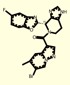 Cc1cc2c(C(=O)N3CCc4[nH]cnc4[C@H]3c3nc4cc(F)ccc4o3)cnn2cc1Br